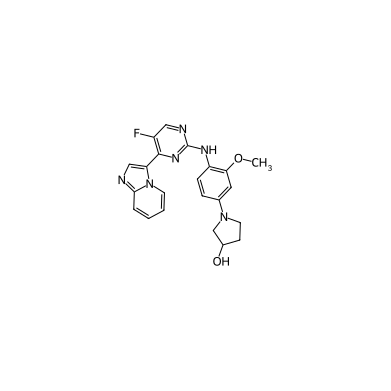 COc1cc(N2CCC(O)C2)ccc1Nc1ncc(F)c(-c2cnc3ccccn23)n1